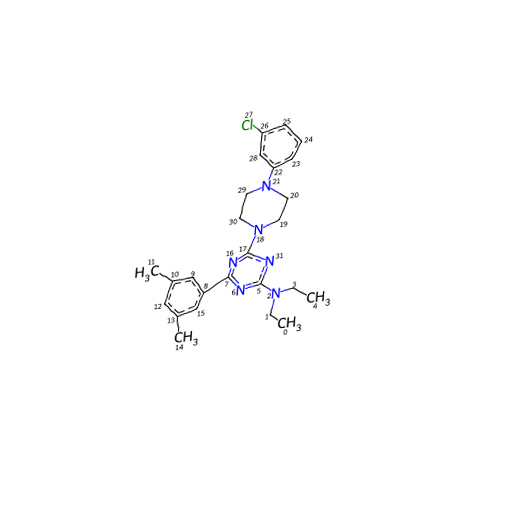 CCN(CC)c1nc(-c2cc(C)cc(C)c2)nc(N2CCN(c3cccc(Cl)c3)CC2)n1